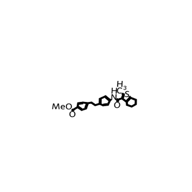 COC(=O)c1ccc(CCc2ccc(NC(=O)c3c(C)sc4c3CCCC4)cc2)cc1